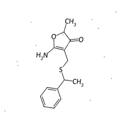 CC1OC(N)=C(CSC(C)c2ccccc2)C1=O